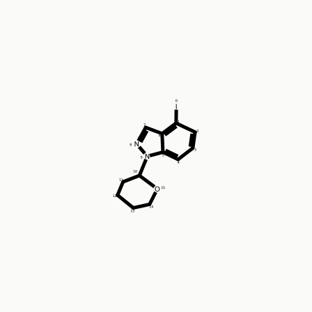 Ic1cccc2c1cnn2C1CCCCO1